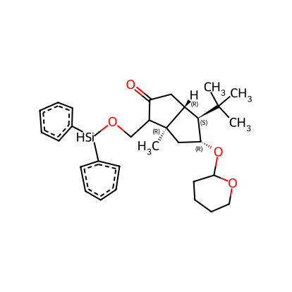 CC(C)(C)[C@@H]1[C@H]2CC(=O)C(CO[SiH](c3ccccc3)c3ccccc3)[C@]2(C)C[C@H]1OC1CCCCO1